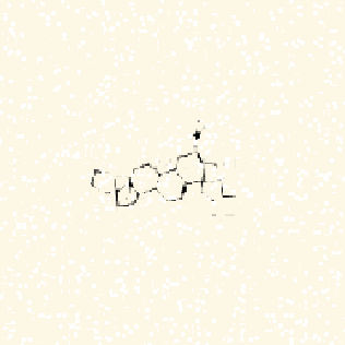 CCCC1(CCC)C2=CCC3C(CCC4(C)C3CCC43OCCO3)C2(C)CC(C#N)=C1O